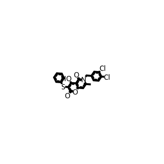 Cc1cc2oc(=O)c(Sc3ccccc3)c(O)c2c(=O)n1Cc1ccc(Cl)c(Cl)c1